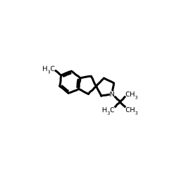 Cc1ccc2c(c1)CC1(CCN(C(C)(C)C)C1)C2